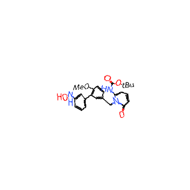 COc1ccc(Cn2c(NC(=O)OC(C)(C)C)cccc2=O)cc1-c1cccc(NO)c1